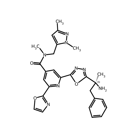 Cc1cc(CN(C)C(=O)c2cc(-c3ncco3)nc(-c3nnc([C@@](C)(N)Cc4ccccc4)o3)c2)n(C)n1